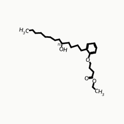 CCCCCCCC[C@H](O)CCCCc1ccccc1OCCCC(=O)OCC